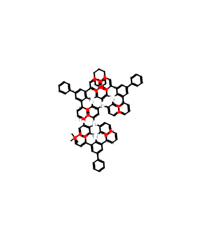 CC(C)(C)c1cc2c3c(c1)N(c1c(-c4ccccc4)cc(-c4ccccc4)cc1-c1ccccc1)c1ccccc1B3c1cc3c(cc1N2)N(c1c(-c2ccccc2)cc(-c2ccccc2)cc1-c1ccccc1)c1cc(N2C4CCCC2CCC4)cc2c1B3c1ccccc1N2c1c(-c2ccccc2)cc(-c2ccccc2)cc1-c1ccccc1